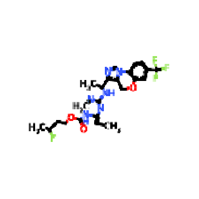 C=N/C(=N\C(=C/C)NC(=O)OCCC(C)F)NC(C)c1ncn2c1COc1cc(C(F)(F)F)ccc1-2